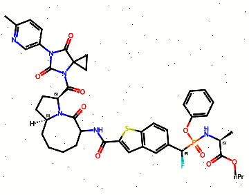 CCCOC(=O)[C@H](C)NP(=O)(Oc1ccccc1)[C@@H](F)c1ccc2sc(C(=O)NC3CCCC[C@H]4CC[C@@H](C(=O)N5C(=O)N(c6ccc(C)nc6)C(=O)C56CC6)N4C3=O)cc2c1